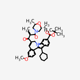 CC=C(C(=O)C1=Cc2cc(OC)ccc2-c2c(C3CCCCC3)c3ccc(C(=O)OC(C)(C)C)cc3n2C1)C(=O)N1C[C@@H](C)O[C@@H](C)C1